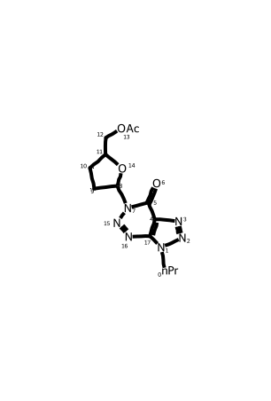 CCCn1nnc2c(=O)n(C3[CH][CH]C(COC(C)=O)O3)nnc21